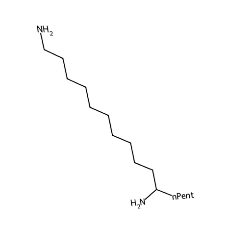 CCCCCC(N)CCCCCCCCCCN